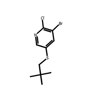 CC(C)(C)CSc1cnc(Cl)c(Br)c1